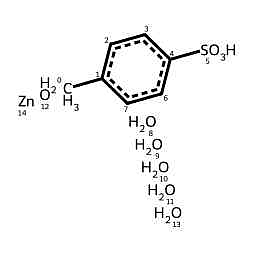 Cc1ccc(S(=O)(=O)O)cc1.O.O.O.O.O.O.[Zn]